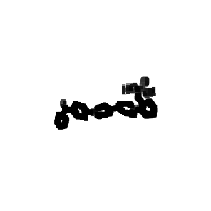 O=C(c1ccccc1)c1ccc(-[n+]2ccc(-c3cc[n+](-c4ccccc4CP(=O)(O)O)cc3)cc2)cc1